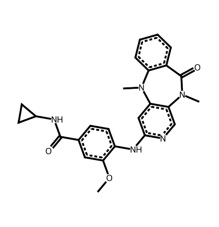 COc1cc(C(=O)NC2CC2)ccc1Nc1cc2c(cn1)N(C)C(=O)c1ccccc1N2C